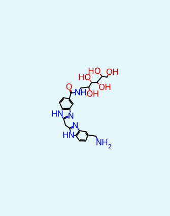 NCc1ccc2[nH]c(Cc3nc4cc(C(=O)NCC(O)C(O)C(O)C(O)CO)ccc4[nH]3)nc2c1